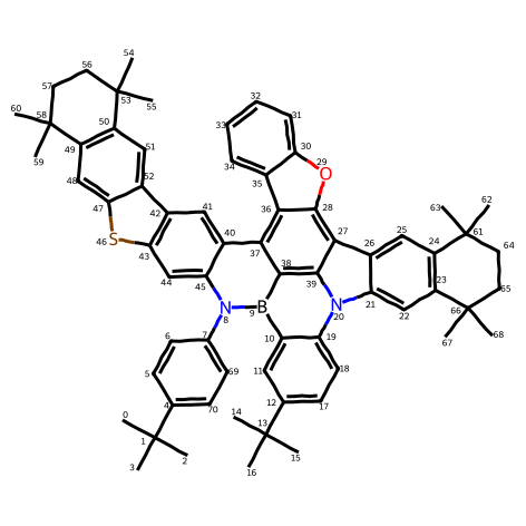 CC(C)(C)c1ccc(N2B3c4cc(C(C)(C)C)ccc4-n4c5cc6c(cc5c5c7oc8ccccc8c7c(c3c54)-c3cc4c(cc32)sc2cc3c(cc24)C(C)(C)CCC3(C)C)C(C)(C)CCC6(C)C)cc1